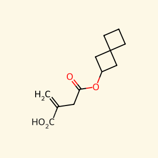 C=C(CC(=O)OC1CC2(CCC2)C1)C(=O)O